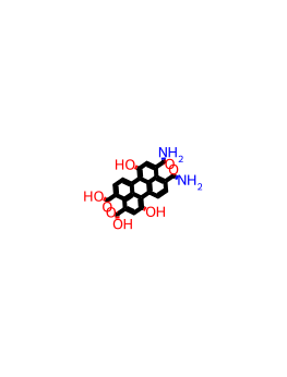 NC(=O)c1ccc2c3c(O)cc(C(=O)O)c4c(C(=O)O)ccc(c5c(O)cc(C(N)=O)c1c25)c43